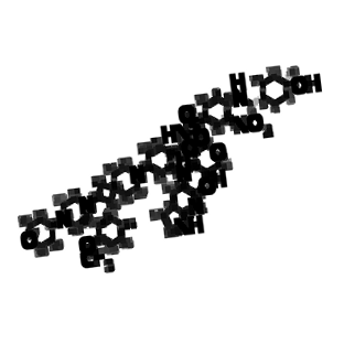 C[C@]1(O)CC[C@H](CNc2ccc(S(=O)(=O)NC(=O)c3ccc(N4CCC5(CC4)CC(N4CCN(C6CCOCC6)C[C@H]4c4ccccc4OC(F)(F)F)C5)cc3N3c4cc5cc[nH]c5nc4O[C@H]4COCC[C@@H]43)cc2[N+](=O)[O-])CC1